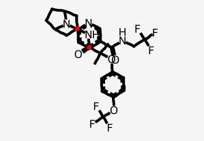 CC(C)(Oc1ccc(OC(F)(F)F)cc1)C(=O)NC1CC2CCC(C1)N2c1ccc(C(=O)NCC(F)(F)F)cn1